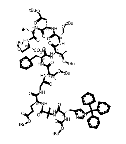 CC(C)[C@H](NC(=O)[C@H](CC(=O)OC(C)(C)C)NC(=O)[C@H](COC(C)(C)C)NC(=O)[C@@H](NC(=O)[C@H](Cc1ccccc1)NC(=O)[C@@H](NC(=O)CNC(=O)[C@H](CCC(=O)OC(C)(C)C)NC(=O)C(C)(C)NC(=O)[C@H](Cc1cn(C(c2ccccc2)(c2ccccc2)c2ccccc2)cn1)NC(=O)OC(C)(C)C)[C@@H](C)OC(C)(C)C)[C@@H](C)OC(C)(C)C)C(=O)N[C@@H](COC(C)(C)C)C(=O)O